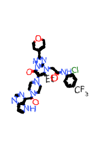 CCc1c(N2CCN(C(=O)c3ncnc4cc[nH]c34)CC2)c(=O)n2nc(C3=CCOCC3)nc2n1CC(=O)Nc1ccc(C(F)(F)F)cc1Cl